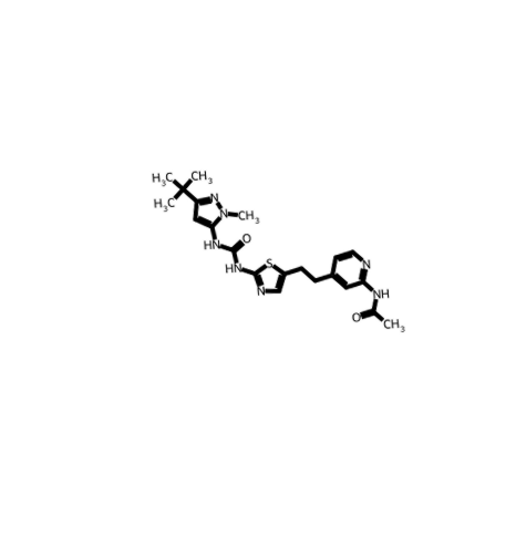 CC(=O)Nc1cc(CCc2cnc(NC(=O)Nc3cc(C(C)(C)C)nn3C)s2)ccn1